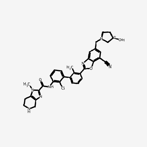 Cc1c(-c2nc3cc(CN4CC[C@@H](O)C4)cc(C#N)c3o2)cccc1-c1cccc(NC(=O)c2nc3c(n2C)CCNC3)c1Cl